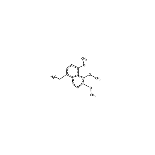 [CH2]Cc1ccc(OC)c2c(OC)c(OC)ccc12